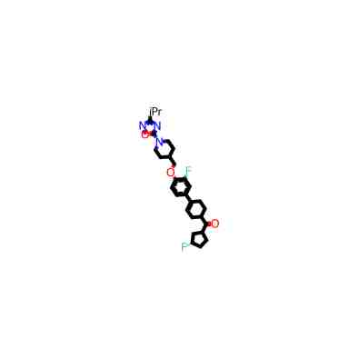 CC(C)c1noc(N2CCC(COc3ccc(C4=CCC(C(=O)C5CC[C@H](F)C5)CC4)cc3F)CC2)n1